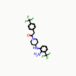 Nc1c(NC2CCN(C(=O)Cc3ccc(C(F)(F)F)cc3)CC2)cccc1C(F)(F)F